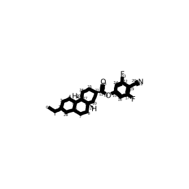 CCC1CCC2C(CC[C@@H]3C[C@H](C(=O)Oc4cc(F)c(C#N)c(F)c4)CC[C@H]23)C1